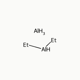 C[CH2][AlH][CH2]C.[AlH3]